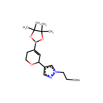 COCCn1cc(C2C=C(B3OC(C)(C)C(C)(C)O3)CCO2)cn1